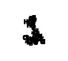 O=C(Nc1cc(Cl)cnc1N1CCC(CCNCC(O)C(F)(F)F)CC1)c1cccc(Cl)c1